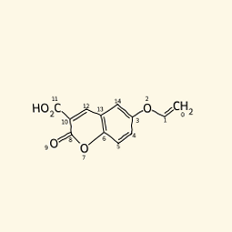 C=COc1ccc2oc(=O)c(C(=O)O)cc2c1